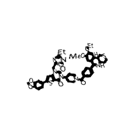 CCOc1cc2c(cc1OC)C(c1ccc(C(=O)N3CCC(n4c(=O)c5sc(-c6ccc7c(c6)OCO7)cc5n(Cc5nc(CC)no5)c4=O)CC3)cc1)=N[C@@H]1CCSC[C@H]21